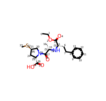 CCOC(=O)[C@H](CCc1ccccc1)N[C@@H](C)C(=O)N1C[C@H](SC)C[C@H]1C(=O)O